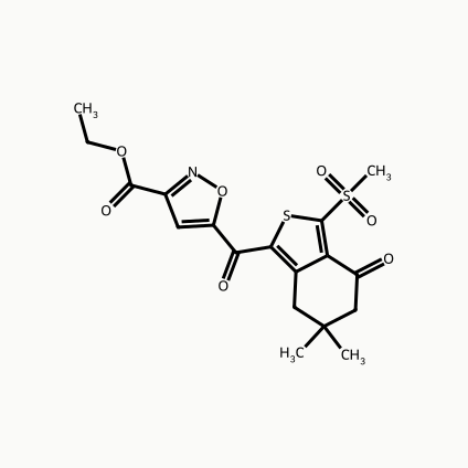 CCOC(=O)c1cc(C(=O)c2sc(S(C)(=O)=O)c3c2CC(C)(C)CC3=O)on1